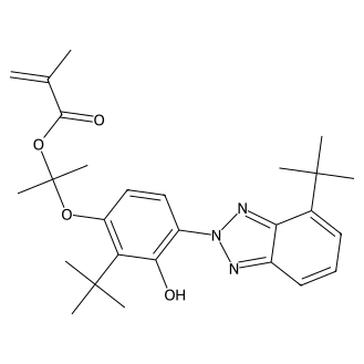 C=C(C)C(=O)OC(C)(C)Oc1ccc(-n2nc3cccc(C(C)(C)C)c3n2)c(O)c1C(C)(C)C